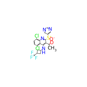 CC(=O)c1c([S+]([O-])c2cncnc2)nc2c(Cl)ccc(Cl)c2c1NC1CC(C(F)(F)F)C1